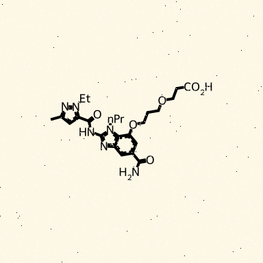 CCCn1c(NC(=O)c2cc(C)nn2CC)nc2cc(C(N)=O)cc(OCCCOCCC(=O)O)c21